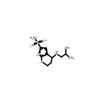 CC(O)CNC1CCSc2sc(S(N)(=O)=O)cc21